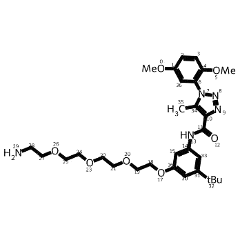 COc1ccc(OC)c(-n2nnc(C(=O)Nc3cc(OCCOCCOCCOCCN)cc(C(C)(C)C)c3)c2C)c1